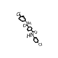 O=C(Nc1ccc(Cl)cc1)c1ccc(C(=O)Nc2ccc(Cl)cc2)cc1